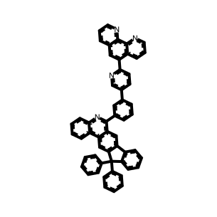 c1ccc(C2(c3ccccc3)c3ccccc3-c3cc4c(-c5cccc(-c6ccc(-c7cc8cccnc8c8ncccc78)nc6)c5)nc5ccccc5c4cc32)cc1